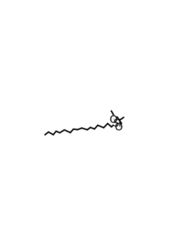 CCCCCCCCCCCCCCCCC[Si](OC)(OCC)C(C)(C)C